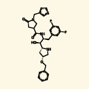 O=C(N[C@@H](Cc1cc(F)cc(F)c1)[C@H](O)[C@H]1C[C@@H](OCc2ccccc2)CN1)C1CC(=O)N(Cc2ccsc2)C1